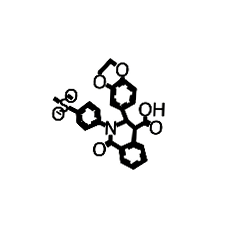 CS(=O)(=O)c1ccc(N2C(=O)c3ccccc3C(C(=O)O)C2c2ccc3c(c2)OCCO3)cc1